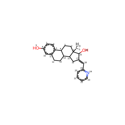 CC12CCC3c4ccc(O)cc4CCC3C1CC(=Cc1ccccn1)C2O